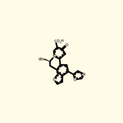 CC(C)(C)[C@@H]1Cc2c(cc(-c3cnco3)c3ccsc23)-c2cc(=O)c(C(=O)O)cn21